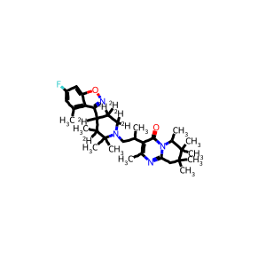 [2H]C1([2H])N(CC(C)c2c(C)nc3n(c2=O)C(C)C(C)(C)C(C)(C)C3)C(C)(C)C([2H])(C)C([2H])(c2noc3cc(F)cc(C)c23)C1([2H])[2H]